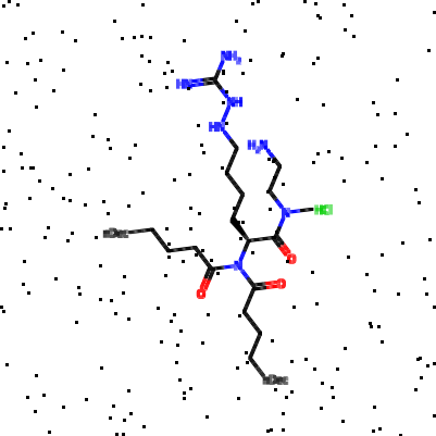 CCCCCCCCCCCCCC(=O)N(C(=O)CCCCCCCCCCCCC)[C@@H](CCCCNNC(=N)N)C(=O)N(C)CCN.Cl